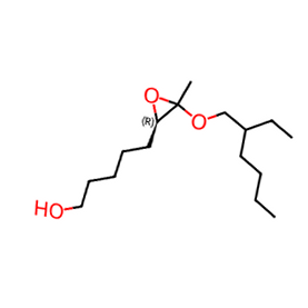 CCCCC(CC)COC1(C)O[C@@H]1CCCCCO